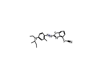 CCC(C)N(CC)c1ccc(/N=N/c2nc3c(SC#N)cccc3s2)c(C)c1